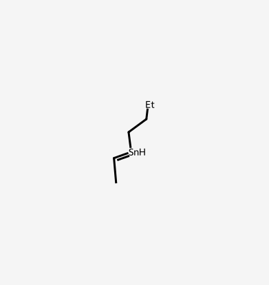 C[CH]=[SnH][CH2]CCC